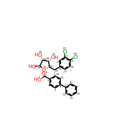 O=C(O)c1ccc(-c2ccccc2)cc1[C@@H](c1ccc(Cl)c(Cl)c1)[C@@H]1O[C@@H](O)[C@H](O)[C@@H]1O